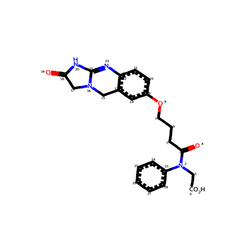 O=C(O)CN(C(=O)CCCOc1ccc2c(c1)CN1CC(=O)NC1=N2)c1ccccc1